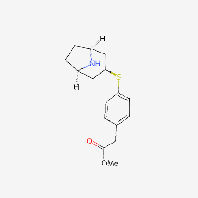 COC(=O)Cc1ccc(S[C@H]2C[C@H]3CC[C@@H](C2)N3)cc1